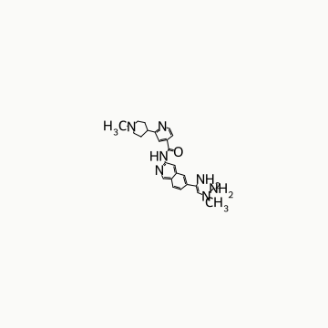 CN(N)/C=C(\N)c1ccc2cnc(NC(=O)c3ccnc(C4CCN(C)CC4)c3)cc2c1